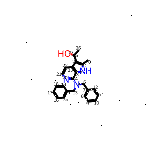 Cc1[nH]c2c(N(Cc3ccccc3)Cc3ccccc3)nccc2c1C(C)O